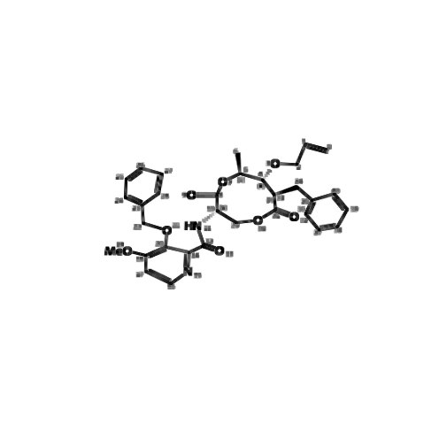 C=CCO[C@H]1[C@H](C)OC(=O)[C@@H](NC(=O)c2nccc(OC)c2OCc2ccccc2)COC(=O)[C@@H]1Cc1ccccc1